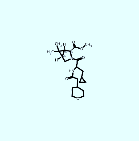 COC(=O)[C@@H]1[C@@H]2[C@H](CN1C(=O)C(CC1CC1)NC(=O)CC1CCOCC1)C2(C)C